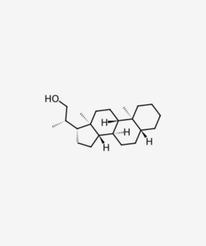 C[C@H](CO)[C@H]1CC[C@H]2[C@@H]3CC[C@H]4CCCC[C@]4(C)[C@H]3CC[C@]12C